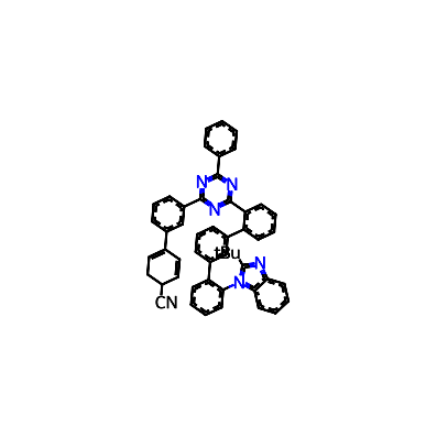 CC(C)(C)c1nc2ccccc2n1-c1ccccc1-c1cccc(-c2ccccc2-c2nc(-c3ccccc3)nc(-c3cccc(C4=CCC(C#N)C=C4)c3)n2)c1